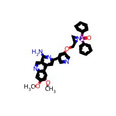 COc1cc2ncc3c(N)nc(-c4cncc(OCC5CN5P(=O)(c5ccccc5)c5ccccc5)c4)cc3c2cc1OC